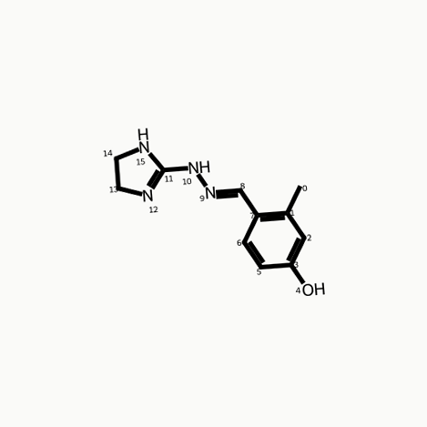 Cc1cc(O)ccc1C=NNC1=NCCN1